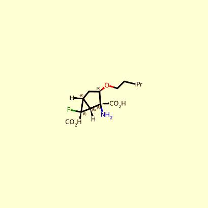 CC(C)CCO[C@@H]1C[C@@H]2[C@H]([C@]1(N)C(=O)O)[C@@]2(F)C(=O)O